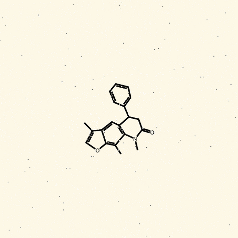 Cc1coc2c(C)c3c(cc12)C(c1ccccc1)CC(=O)N3C